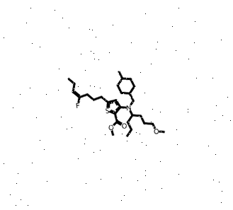 CC/C=C(/F)CCCc1cc(N(CC2CCC(C)CC2)C(CCC)CCCOC)c(C(=O)OC)s1